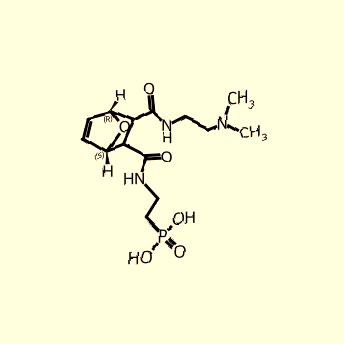 CN(C)CCNC(=O)C1C(C(=O)NCCP(=O)(O)O)[C@@H]2C=C[C@H]1O2